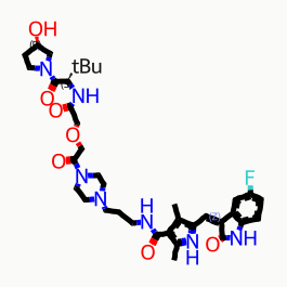 Cc1[nH]c(/C=C2\C(=O)Nc3ccc(F)cc32)c(C)c1C(=O)NCCCN1CCN(C(=O)COCC(=O)N[C@H](C(=O)N2CC[C@@H](O)C2)C(C)(C)C)CC1